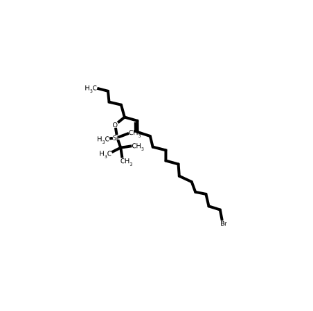 CCCCC(C=CCCCCCCCCCCCBr)O[Si](C)(C)C(C)(C)C